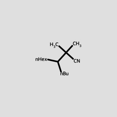 CCCCCCC(CCCC)C(C)(C)C#N